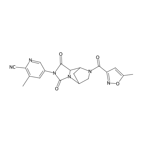 Cc1cc(C(=O)N2CC3CC2C2C(=O)N(c4cnc(C#N)c(C)c4)C(=O)N32)no1